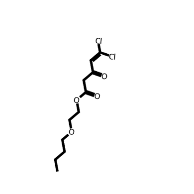 CCCCOCCOC(=O)CC(=O)C=C(Cl)Cl